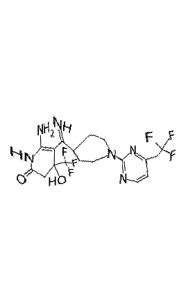 N=C(C1=C(N)NC(=O)CC1(O)C(F)(F)F)C1CCN(c2nccc(C(F)(F)F)n2)CC1